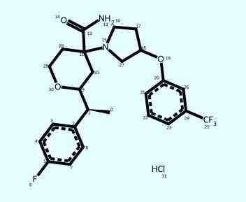 C[C@@H](c1ccc(F)cc1)C1CC(C(N)=O)(N2CCC(Oc3cccc(C(F)(F)F)c3)C2)CCO1.Cl